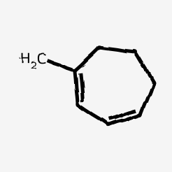 [CH2]C1=CC=CCCC1